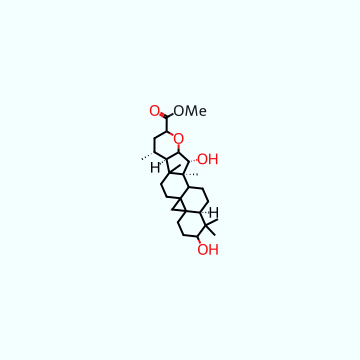 COC(=O)C1C[C@@H](C)[C@H]2C(O1)[C@H](O)[C@@]1(C)C3CC[C@H]4C(C)(C)C(O)CCC45CC35CCC21C